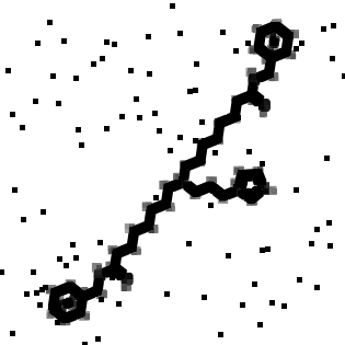 O=C(CCCCCCCN(CCCCCCCC(=O)OCC12CCC(CC1)CC2)CCCn1ccnc1)OCC12CCC(CC1)CC2